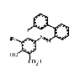 CC(C)c1cc(N=Nc2ccccc2-c2cccc(I)c2)cc(C(=O)O)c1O